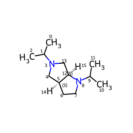 CC(C)N1C[C@@H]2CCN(C(C)C)[C@@H]2C1